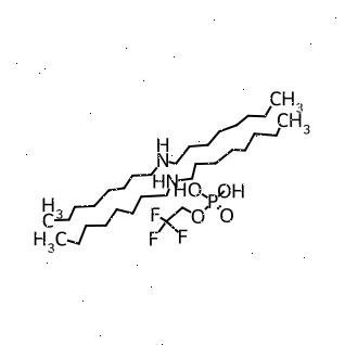 CCCCCCCCNCCCCCCCC.CCCCCCCCNCCCCCCCC.O=P(O)(O)OCC(F)(F)F